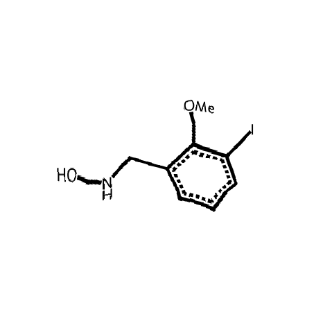 COc1c(I)cccc1CNO